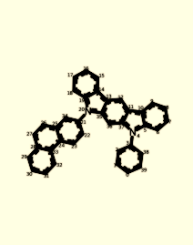 c1ccc(-n2c3ccccc3c3cc4c5ccccc5n(-c5ccc6c(ccc7ccccc76)c5)c4cc32)cc1